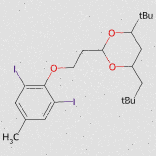 Cc1cc(I)c(OCCC2OC(CC(C)(C)C)CC(C(C)(C)C)O2)c(I)c1